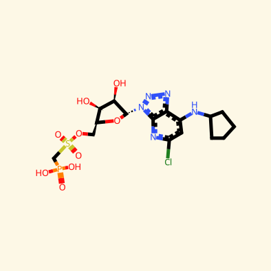 O=P(O)(O)CS(=O)(=O)OC[C@@H]1O[C@@H](n2nnc3c(NC4CCCC4)cc(Cl)nc32)[C@H](O)[C@@H]1O